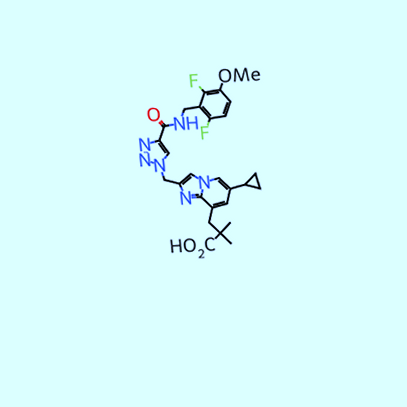 COc1ccc(F)c(CNC(=O)c2cn(Cc3cn4cc(C5CC5)cc(CC(C)(C)C(=O)O)c4n3)nn2)c1F